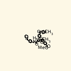 COC(=O)c1ccc(N(C)S(=O)(=O)c2cc(C(=O)NCc3ccc(CN4CCCCC4)cc3)sc2-c2ccc(C(=O)N3CCN(C)CC3)cc2)cc1